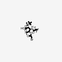 C[C@H]1O[C@@](O)(O[Si](C)(C)C(C)(C)C)C[C@H](NC(=O)C(F)(F)F)[C@H]1OC(=O)CBr